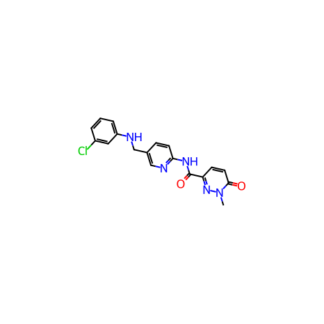 Cn1nc(C(=O)Nc2ccc(CNc3cccc(Cl)c3)cn2)ccc1=O